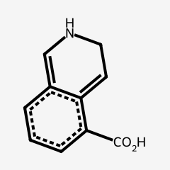 O=C(O)c1cccc2c1=CCNC=2